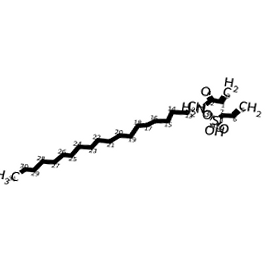 C=CC(N)=O.C=CCS(=O)(=O)O.CCCCCCCCCCCCCCCCCCCC